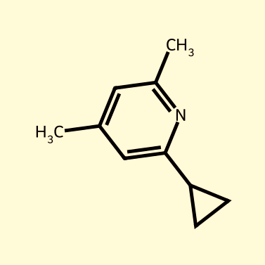 Cc1cc(C)nc(C2CC2)c1